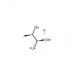 C[C@@H](O)[C@H](N)C(=O)[O-].[K+]